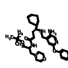 CC(C)(C)OCC(CN1CCOCC1)NC(=O)CC[C@H](NCc1cc(Oc2ccccc2)ncc1N)C1CCCCC1